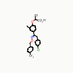 CCC(Oc1ccc(/C(Cc2ccc(Cl)cc2)=N/OCc2ccc(C(F)(F)F)cc2)cc1C)C(=O)O